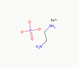 NCCN.O=P([O-])([O-])[O-].[Fe+3]